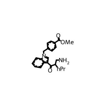 CCCC(CN)C(=O)c1cn(Cc2ccc(C(=O)OC)cc2)c2ccccc12